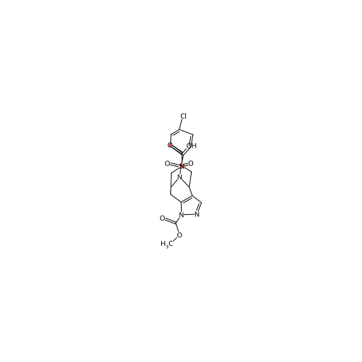 COC(=O)n1ncc2c1CC1CN(C(=O)O)CC2N1S(=O)(=O)c1ccc(Cl)cc1